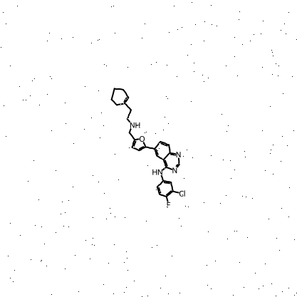 Fc1ccc(Nc2ncnc3ccc(-c4ccc(CNCCC5=CCCCC5)o4)cc23)cc1Cl